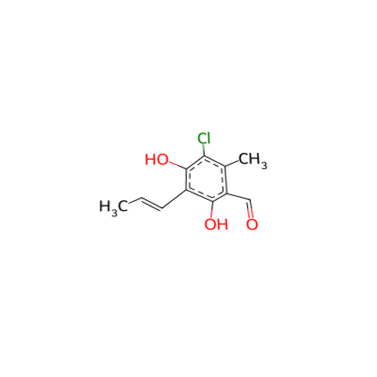 CC=Cc1c(O)c(Cl)c(C)c(C=O)c1O